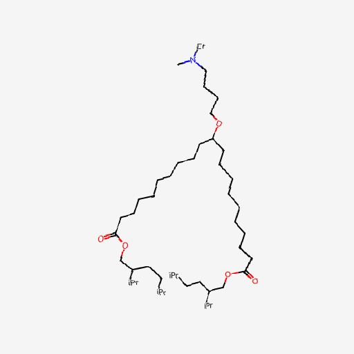 CCN(C)CCCCOC(CCCCCCCCCC(=O)OCC(CCC(C)C)C(C)C)CCCCCCCCCC(=O)OCC(CCC(C)C)C(C)C